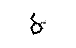 Br.C=Cc1ccccc1